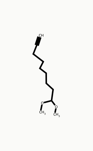 C#CCCCCCCC(OC)OC